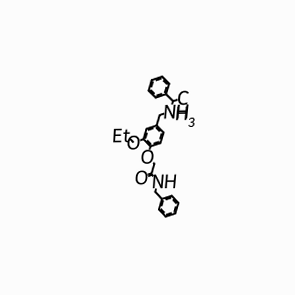 CCOc1cc(CNC(C)c2ccccc2)ccc1OCC(=O)NCc1ccccc1